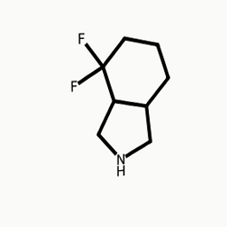 FC1(F)CCCC2CNCC21